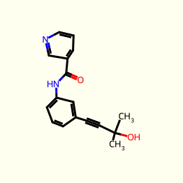 CC(C)(O)C#Cc1cccc(NC(=O)c2cccnc2)c1